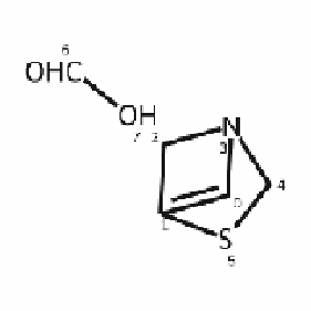 C1=C2CN1CS2.O=CO